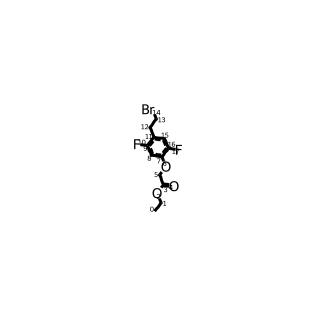 CCOC(=O)COc1cc(F)c(CCBr)cc1F